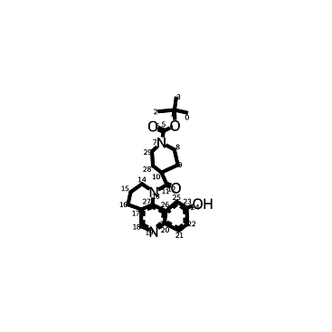 CC(C)(C)OC(=O)N1CCC(C(=O)N2CCCc3cnc4ccc(O)cc4c32)CC1